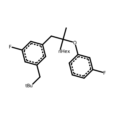 CCCCCCC(C)(Cc1cc(F)cc(CC(C)(C)C)c1)Oc1cccc(F)c1